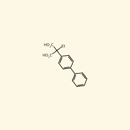 CCC(C(=O)O)(C(=O)O)c1ccc(-c2ccccc2)cc1